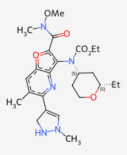 CCOC(=O)N(c1c(C(=O)N(C)OC)oc2cc(C)c(C3=CN(C)NC3)nc12)[C@H]1CCO[C@@H](CC)C1